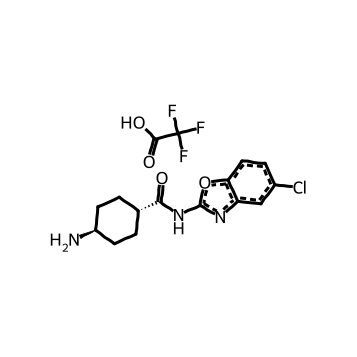 N[C@H]1CC[C@H](C(=O)Nc2nc3cc(Cl)ccc3o2)CC1.O=C(O)C(F)(F)F